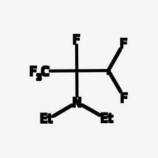 CCN(CC)C(F)([C](F)F)C(F)(F)F